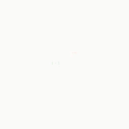 CCCO.Cl